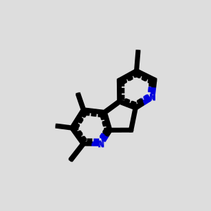 Cc1cnc2c(c1)-c1c(nc(C)c(C)c1C)C2